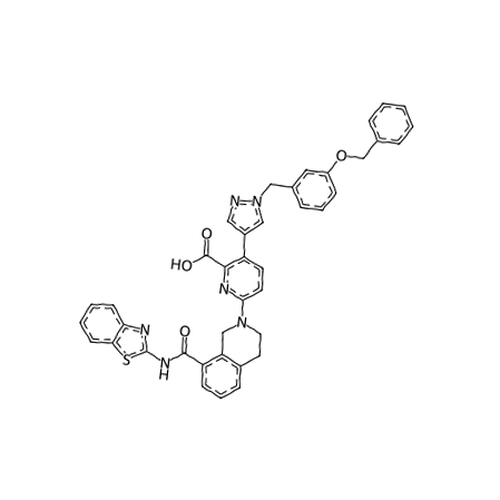 O=C(Nc1nc2ccccc2s1)c1cccc2c1CN(c1ccc(-c3cnn(Cc4cccc(OCc5ccccc5)c4)c3)c(C(=O)O)n1)CC2